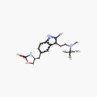 [2H]c1[nH]c2ccc(C[C@H]3COC(=O)N3)cc2c1CCN(C)C([2H])([2H])[2H]